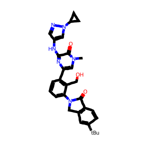 Cn1cc(-c2cccc(N3Cc4cc(C(C)(C)C)ccc4C3=O)c2CO)nc(Nc2cnn(C3CC3)c2)c1=O